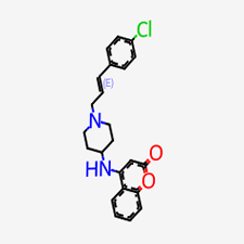 O=c1cc(NC2CCN(C/C=C/c3ccc(Cl)cc3)CC2)c2ccccc2o1